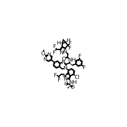 COc1ncc(-c2ccc3c(c2)N=C([C@H](Cc2cc(F)cc(F)c2)NC(=O)Cn2nc(C(F)F)c4c2C(F)(F)[C@@H]2C[C@H]42)N(c2ccc(Cl)c4c(NS(C)(=O)=O)nn(CC(F)F)c24)C3)cn1